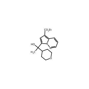 CCOC(=O)c1cc(C(C)(O)C2CCOCC2)n2ncccc12